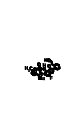 Cc1ccc([C@H](Nc2c(Nc3ccc(F)c4c3C(=O)N(c3ccccc3CCO)C4)c(=O)c2=O)C(C)(C)C)o1